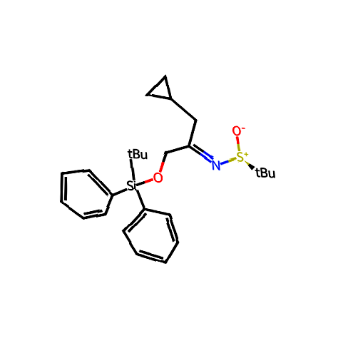 CC(C)(C)[S@+]([O-])N=C(CO[Si](c1ccccc1)(c1ccccc1)C(C)(C)C)CC1CC1